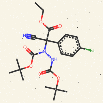 CCOC(=O)C(C#N)(c1ccc(Br)cc1)N(NC(=O)OC(C)(C)C)C(=O)OC(C)(C)C